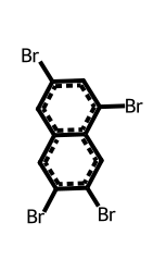 Brc1cc(Br)c2cc(Br)c(Br)cc2c1